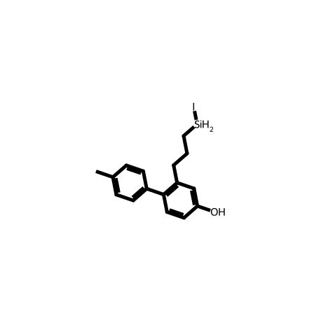 Cc1ccc(-c2ccc(O)cc2CCC[SiH2]I)cc1